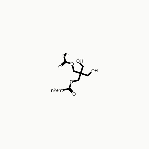 CCCCCC(=O)OCC(CO)(CO)COC(=O)CCC